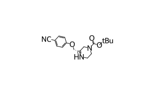 CC(C)(C)OC(=O)N1CCN[C@H](COc2ccc(C#N)cc2)C1